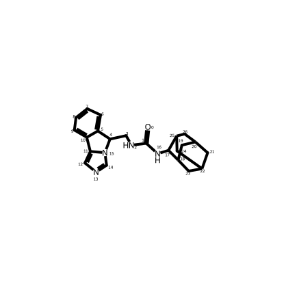 O=C(NCC1c2ccccc2-c2cncn21)NC1C2CC3CC(C2)CC1C3